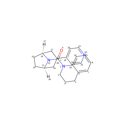 O=C(N1CCCc2ccccc21)N1[C@@H]2CC[C@H]1CC(c1ccncc1)C2